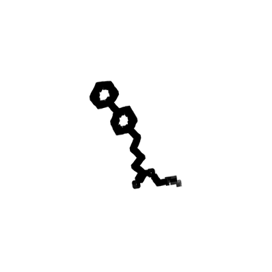 O=C(CCCCc1ccc(-c2ccccc2)cc1)OCP